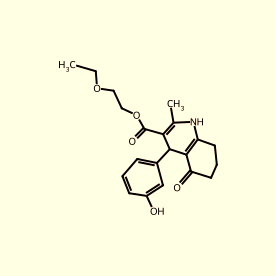 CCOCCOC(=O)C1=C(C)NC2=C(C(=O)CCC2)C1c1cccc(O)c1